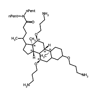 CCCCCN(CCCCC)C(=O)CCC(C)C1CC[C@H]2C3[C@H](OCCCN)CC4CC(OCCCN)CC[C@]4(C)[C@H]3C[C@H](OCCCN)[C@]12C